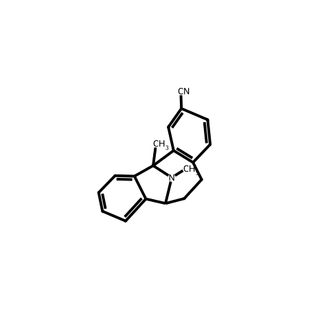 CN1C2CCc3ccc(C#N)cc3C1(C)c1ccccc12